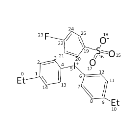 CCc1ccc([I+]c2ccc(CC)cc2)cc1.O=S(=O)([O-])c1ccc(F)cc1